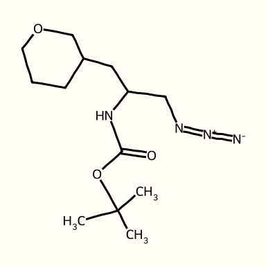 CC(C)(C)OC(=O)NC(CN=[N+]=[N-])CC1CCCOC1